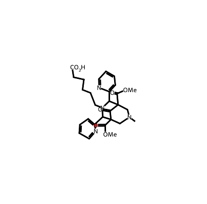 COC(=O)C12CN(C)CC(C(=O)OC)(C1=O)C(c1ccccn1)N(CCCCCC(=O)O)C2c1ccccn1